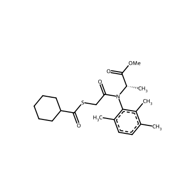 COC(=O)[C@H](C)N(C(=O)CSC(=O)C1CCCCC1)c1c(C)ccc(C)c1C